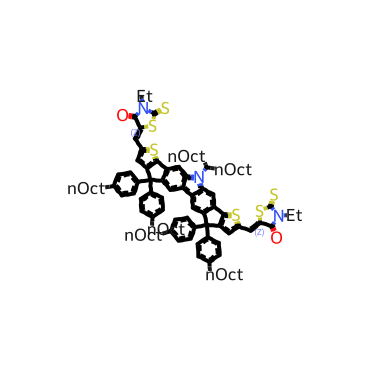 CCCCCCCCc1ccc(C2(c3ccc(CCCCCCCC)cc3)c3cc4c5cc6c(cc5n(C(CCCCCCCC)CCCCCCCC)c4cc3-c3sc(/C=C4\SC(=S)N(CC)C4=O)cc32)-c2sc(/C=C3\SC(=S)N(CC)C3=O)cc2C6(c2ccc(CCCCCCCC)cc2)c2ccc(CCCCCCCC)cc2)cc1